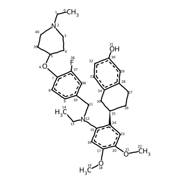 CCN1CCC(Oc2ccc(CN(CC)c3cc(OC)c(OC)cc3[C@@H]3CCc4cc(O)ccc4C3)cc2F)CC1